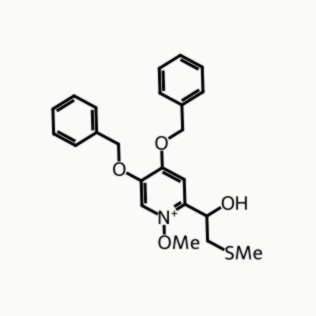 CO[n+]1cc(OCc2ccccc2)c(OCc2ccccc2)cc1C(O)CSC